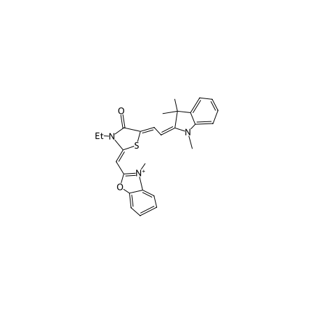 CCn1c(=O)/c(=C/C=C2/N(C)c3ccccc3C2(C)C)s/c1=C\c1oc2ccccc2[n+]1C